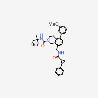 COc1cccc(-c2ccc(CNC(=O)C3CC3c3ccccc3)c3c2CCN(C(=O)NC(C)(C)CC(C)(C)C)C3)c1